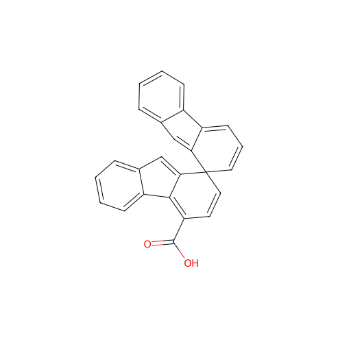 O=C(O)C1=C2C(=Cc3ccccc32)C2(C=CC=C3C2=Cc2ccccc23)C=C1